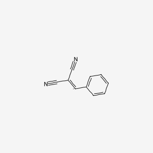 N#CC(=[C]c1ccccc1)C#N